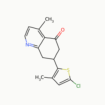 Cc1cc(Cl)sc1C1CC(=O)c2c(C)ccnc2C1